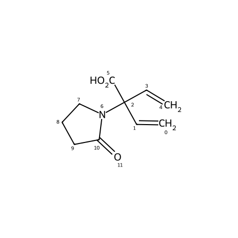 C=CC(C=C)(C(=O)O)N1CCCC1=O